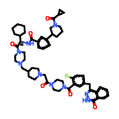 O=C(N[C@@H](C(=O)N1CCN(CC2CCN(CC(=O)N3CCN(C(=O)c4cc(Cc5n[nH]c(=O)c6ccccc56)ccc4F)CC3)CC2)CC1)C1CCCCC1)c1cccc(C2CCCN(C(=O)C3CC3)C2)c1